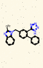 CCCc1nc2ccccc2n1Cc1ccc(-c2ccccc2)c(-c2nnn[nH]2)c1